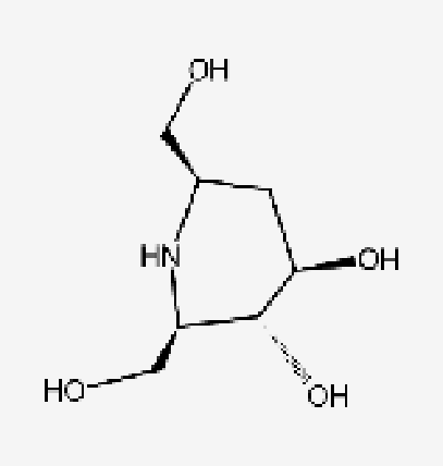 OC[C@H]1C[C@@H](O)[C@H](O)[C@@H](CO)N1